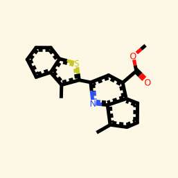 COC(=O)c1cc(-c2sc3ccccc3c2C)nc2c(C)cccc12